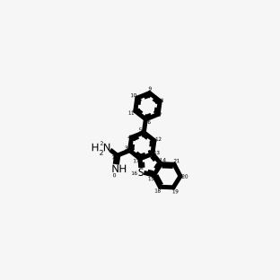 N=C(N)c1cc(-c2ccccc2)cc2c3c(sc12)=CCCC=3